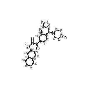 C[C@H](NC(=O)c1ccc2c(N3CCN(C)CC3)nc(N)nc2c1)c1ccc2ccccc2c1